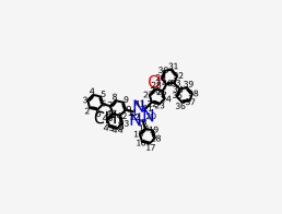 Cc1ccccc1-c1ccc(-c2nc(-c3ccccc3)nc(-c3ccc4c(c3)oc3cccc(-c5ccccc5)c34)n2)c2ccccc12